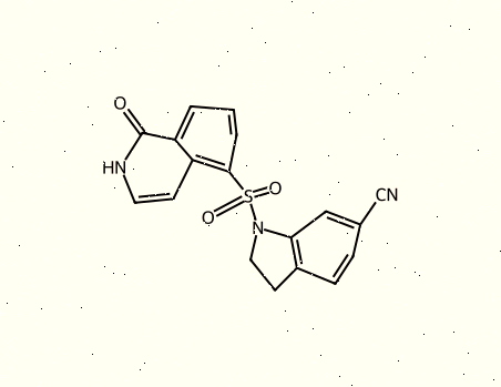 N#Cc1ccc2c(c1)N(S(=O)(=O)c1cccc3c(=O)[nH]ccc13)CC2